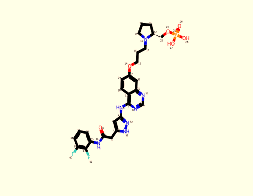 O=C(Cc1cc(Nc2ncnc3cc(OCCCN4CCC[C@@H]4COP(=O)(O)O)ccc23)n[nH]1)Nc1cccc(F)c1F